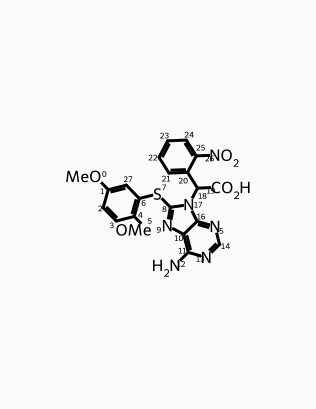 COc1ccc(OC)c(Sc2nc3c(N)ncnc3n2C(C(=O)O)c2ccccc2[N+](=O)[O-])c1